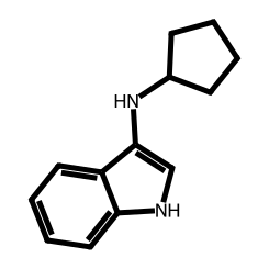 c1ccc2c(NC3CCCC3)c[nH]c2c1